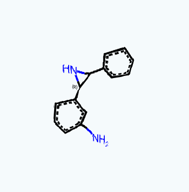 Nc1cccc([C@H]2NC2c2ccccc2)c1